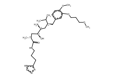 COCCCOc1cc(C[C@@H](C[C@H](N)[C@@H](O)C[C@@H](C)C(=O)NCCCc2nnn[nH]2)C(C)C)ccc1OC